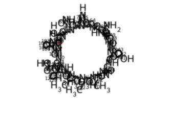 CCCC[C@H]1C(=O)N(C)[C@@H](CCCC)C(=O)N[C@@H](CC(C)C)C(=O)N[C@H](C(N)=O)CNCC(=O)N[C@@H](Cc2ccc(O)cc2)C(=O)N2CCCC[C@H]2C(=O)N[C@@H](CC(N)=O)C(=O)N2CCCC2C(=O)N[C@@H](Cc2c[nH]cn2)C(=O)N[C@@H](CCC(N)=O)C(=O)N2C[C@H](O)C[C@H]2C(=O)N[C@@H](Cc2c[nH]c3ccccc23)C(=O)N[C@@H](C)C(=O)N[C@@H](Cc2cn(CC(=O)O)c3ccccc23)C(=O)N1C